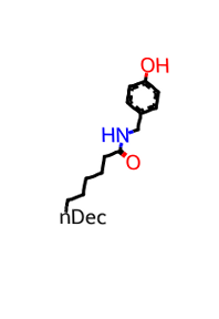 CCCCCCCCCCCCCCCC(=O)NCc1ccc(O)cc1